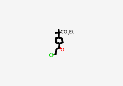 CCOC(=O)C(C)(C)c1ccc(C(=O)CCCl)cc1